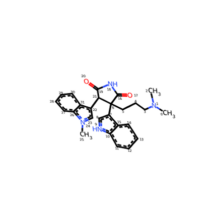 CN(C)CCCC1(c2c[nH]c3ccccc23)C(=O)NC(=O)C1c1cn(C)c2ccccc12